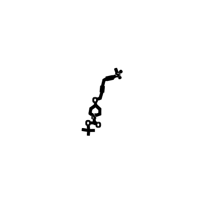 CC(C)(C)OC(=O)N1CCC(OCC#CCC#C[Si](C)(C)C)CC1